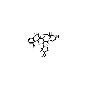 COC1CCN(c2nc(-c3c(N)cccc3F)c(Cl)c3c2C(=O)N2CCNC[C@@H]2CO3)C1(C)C